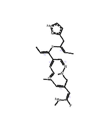 C/C=C(S/C(=C/C)Cc1cc[nH]n1)/C(/C=N\N(C)CC(=C\CC)/C=C(/F)NC)=C/C=O